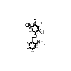 Cc1cc(Cl)c(OCc2ccccc2N)cc1Cl